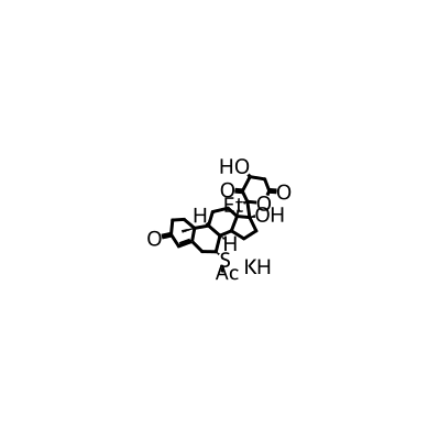 CC[C@]1([C@]2(O)CCC3[C@@H]4[C@@H](CC[C@@]32C)[C@@]2(C)CCC(=O)C=C2C[C@H]4SC(C)=O)OC(=O)CC(O)C1=O.[KH]